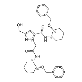 O=C(Cn1nc(CO)cc1C(=O)N[C@H]1CCCC[C@@H]1OCc1ccccc1)N[C@H]1CCCC[C@@H]1OCc1ccccc1